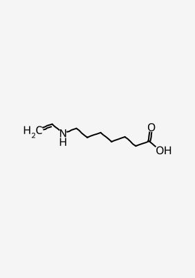 C=CNCCCCCCC(=O)O